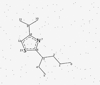 CCCC(CC)c1nc(C(C)C)cs1